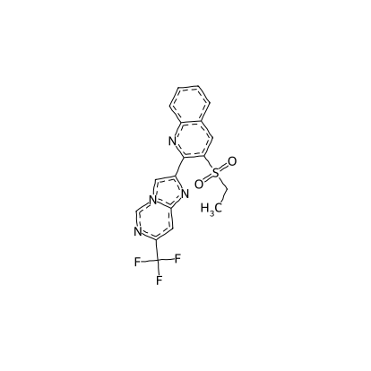 CCS(=O)(=O)c1cc2ccccc2nc1-c1cn2cnc(C(F)(F)F)cc2n1